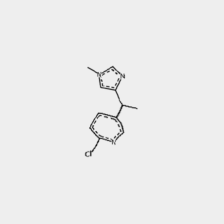 C[C](c1ccc(Cl)nc1)c1cn(C)cn1